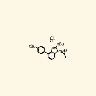 CCCCC1=Cc2c(-c3ccc(C(C)(C)C)cc3)cccc2[CH]1[Ti+2]1[O][CH]1C.[Cl-].[Cl-]